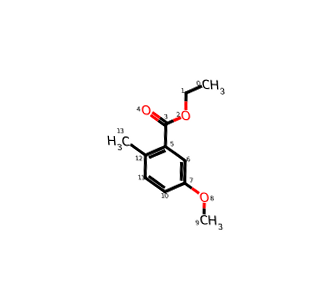 CCOC(=O)c1cc(OC)ccc1C